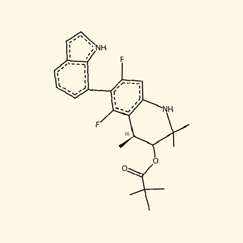 C[C@H]1c2c(cc(F)c(-c3cccc4cc[nH]c34)c2F)NC(C)(C)C1OC(=O)C(C)(C)C